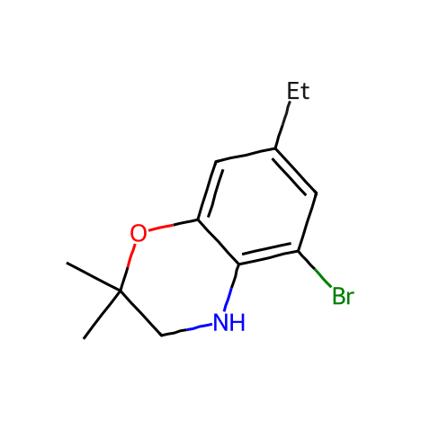 CCc1cc(Br)c2c(c1)OC(C)(C)CN2